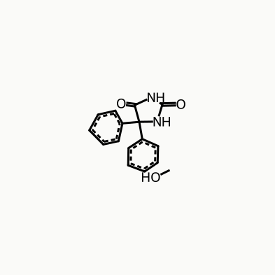 CO.O=C1NC(=O)C(c2ccccc2)(c2ccccc2)N1